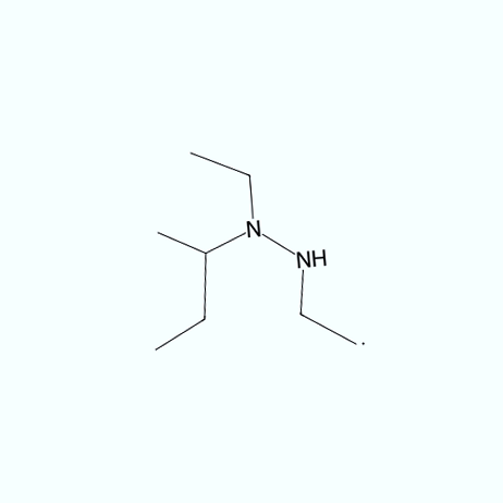 [CH2]CNN(CC)C(C)CC